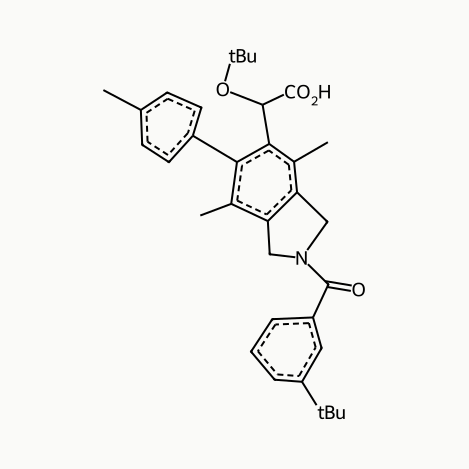 Cc1ccc(-c2c(C)c3c(c(C)c2C(OC(C)(C)C)C(=O)O)CN(C(=O)c2cccc(C(C)(C)C)c2)C3)cc1